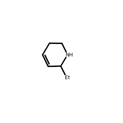 CCC1C=CCCN1